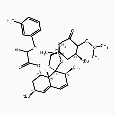 CCC(Oc1cccc(C)c1)C(=O)O[C@H]1C[C@H](C(C)(C)C)C=C2C=C[C@H](C)[C@](CC[C@@H]3C[C@H](C(C)(C)C)C(O[SiH](C)C)C(=O)O3)(O[SiH](C)C)[C@H]21